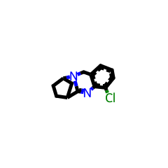 Clc1cccc2c1N=C1C3CCC(C3)N1C2